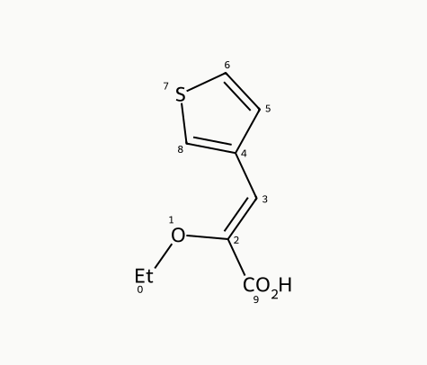 CCOC(=Cc1ccsc1)C(=O)O